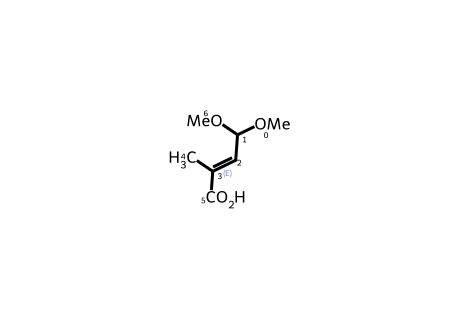 COC(/C=C(\C)C(=O)O)OC